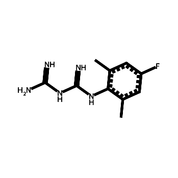 Cc1cc(F)cc(C)c1NC(=N)NC(=N)N